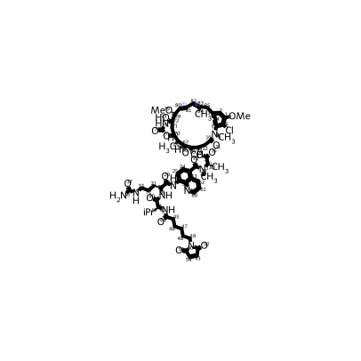 COc1cc2cc(c1Cl)N(C)C(=O)C[C@H](OC(=O)[C@H](C)N(C)C(=O)c1ccc(NC(=O)[C@H](CCCNC(N)=O)NC(=O)[C@@H](NC(=O)CCCCCN3C(=O)C=CC3=O)C(C)C)c3ncccc13)[C@]1(C)O[C@H]1[C@H](C)[C@@H]1C[C@@](O)(NC(=O)O1)[C@H](OC)/C=C/C=C(\C)C2